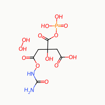 NC(=O)NOC(=O)CC(O)(CC(=O)O)C(=O)OP(=O)(O)O.OO